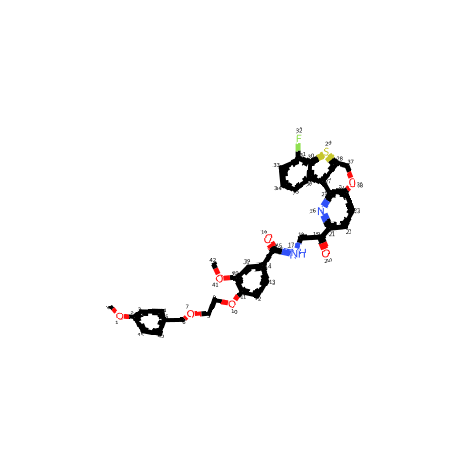 COc1ccc(COCCOc2ccc(C(=O)NCC(=O)c3ccc4c(n3)-c3c(sc5c(F)cccc35)CO4)cc2OC)cc1